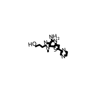 Cn1c(CCCO)nc2c(N)nc3cc(-c4cnccn4)sc3c21